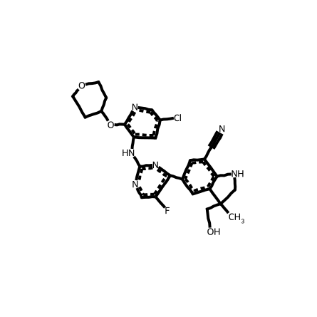 CC1(CO)CNc2c(C#N)cc(-c3nc(Nc4cc(Cl)cnc4OC4CCOCC4)ncc3F)cc21